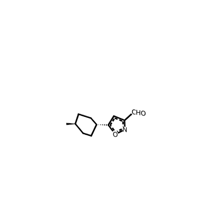 C[C@H]1CC[C@H](c2cc(C=O)no2)CC1